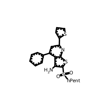 CCCCCS(=O)(=O)c1sc2nc(-c3cccs3)cc(-c3ccccc3)c2c1N